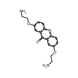 NCCOc1ccc2oc3ccc(OCCN)cc3c(=O)c2c1